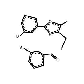 Cc1oc(-c2cccc(Br)c2)nc1CI.O=Cc1cccc(Br)c1